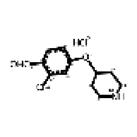 Cl.O=Cc1ccc(OC2CCNCC2)cc1Cl